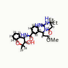 CCC1(CC)CC(=O)N(C(CCOC)c2cccc(C(=O)NC3c4ccccc4OC(C)(C)C3O)c2)C(=N)N1